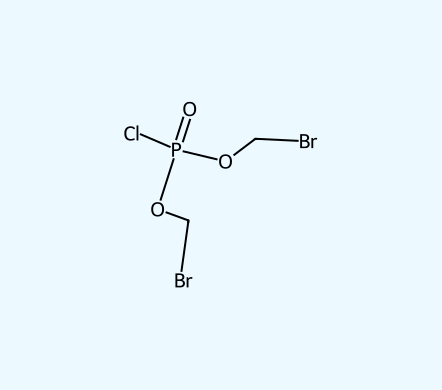 O=P(Cl)(OCBr)OCBr